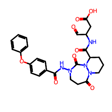 O=CC(CC(=O)O)NC(=O)C1CCCN2C(=O)CCN(NC(=O)c3ccc(Oc4ccccc4)cc3)C(=O)N12